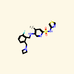 O=S(=O)(Nc1cscn1)c1cc(C(F)(F)F)c(NCc2c(F)cccc2CN2CCC2)cn1